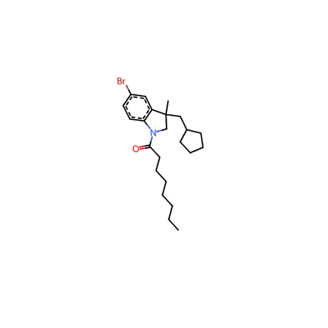 CCCCCCCC(=O)N1CC(C)(CC2CCCC2)c2cc(Br)ccc21